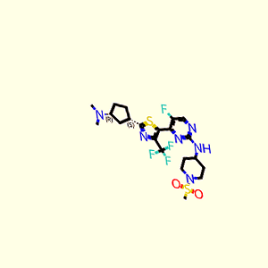 CN(C)[C@@H]1CC[C@H](c2nc(C(F)(F)F)c(-c3nc(NC4CCN(S(C)(=O)=O)CC4)ncc3F)s2)C1